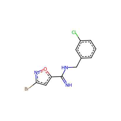 N=C(NCc1cccc(Cl)c1)c1cc(Br)no1